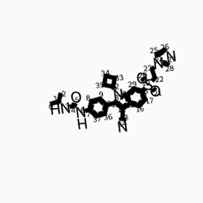 CC(C)NC(=O)Nc1ccc(-c2c(C#N)c3ccc(S(=O)(=O)CCn4ccnc4)cc3n2C2CCC2)cc1